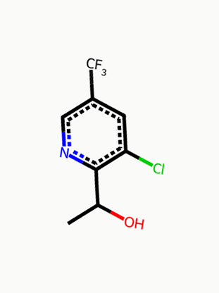 CC(O)c1ncc(C(F)(F)F)cc1Cl